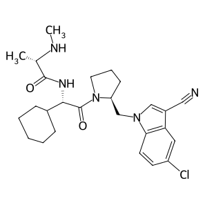 CN[C@@H](C)C(=O)N[C@H](C(=O)N1CCC[C@H]1Cn1cc(C#N)c2cc(Cl)ccc21)C1CCCCC1